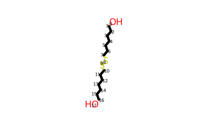 OCCCCCCCSSCCCCCCCO